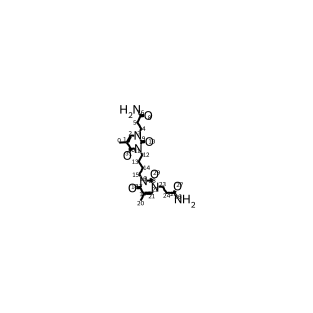 Cc1cn(CCC(N)=O)c(=O)n(CCCCn2c(=O)c(C)cn(CCC(N)=O)c2=O)c1=O